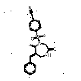 N#Cc1ccc(S(=O)(=O)N2CC(=O)NC/C(=C\c3ccccc3)C2=O)cc1